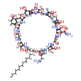 CCCCCCCCCCCCC[C@@H]1CC(=O)N[C@H]([C@@H](C)O)C(=O)N[C@H](C)C(=O)N[C@@H](Cc2ccc(O)cc2)C(=O)N[C@@H](C(C)C)C(=O)N2C[C@H](O)C[C@H]2C(=O)N[C@H]([C@@H](C)O)C(=O)N[C@@H]([C@@H](C)O)C(=O)N2CC[C@H](O)[C@H]2C(=O)N[C@@H]([C@H](O)CC(N)=O)C(=O)NCC(=O)N[C@H]([C@@H](C)O)C(=O)N[C@@H](CCCN)C(=O)O1